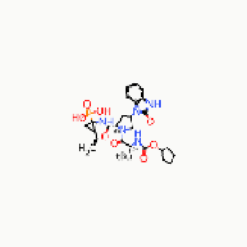 C=CC1C[C@]1(NC(=O)[C@@H]1CC(n2c(=O)[nH]c3ccccc32)CN1C(=O)[C@@H](NC(=O)OC1CCCC1)C(C)(C)C)P(=O)(O)O